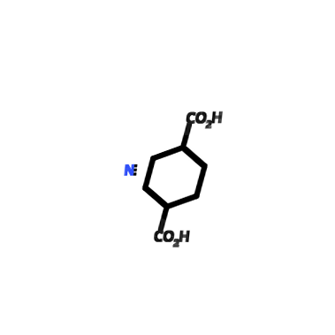 O=C(O)C1CCC(C(=O)O)CC1.[N]